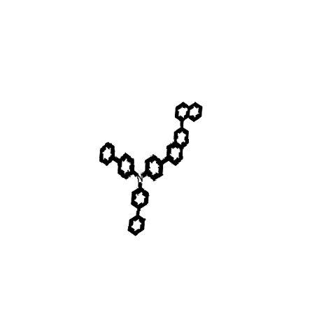 c1ccc(-c2ccc(N(c3ccc(-c4ccccc4)cc3)c3ccc(-c4ccc5ccc(-c6cccc7ccccc67)cc5c4)cc3)cc2)cc1